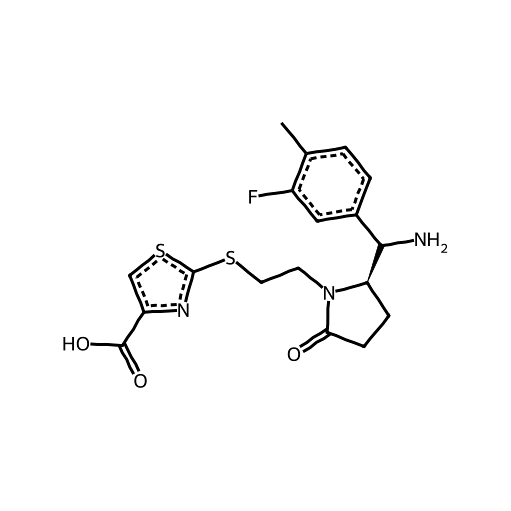 Cc1ccc(C(N)[C@H]2CCC(=O)N2CCSc2nc(C(=O)O)cs2)cc1F